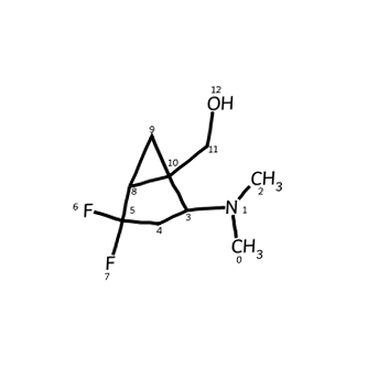 CN(C)C1CC(F)(F)C2CC12CO